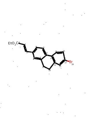 CCOC(=O)/C=C/c1ccc2c(c1)CCc1cc(Br)ccc1-2